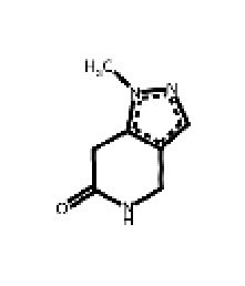 Cn1ncc2c1CC(=O)NC2